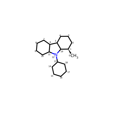 C[C@@H]1CCCC2C3CCCCC3N(C3CCCCC3)C21